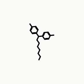 CCCCCCCC(c1ccc(C)cc1)c1ccc(C)cc1